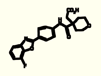 O=C(O)CC1(C(=O)Nc2ccc(-c3nc4cccc(F)c4o3)cc2)CCOCC1